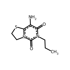 CCCn1c(=O)c(N)c2n(c1=O)CCS2